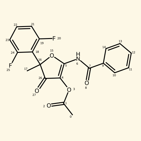 CC(=O)OC1=C(NC(=O)c2ccccc2)OC(C)(c2c(F)cccc2F)C1=O